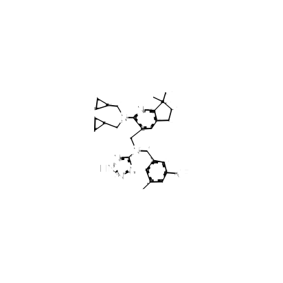 Cc1cc(CN(Cc2cc3c(nc2N(CC2CC2)CC2CC2)C(C)(C)CC3)c2nn[nH]n2)cc(C(F)(F)F)c1